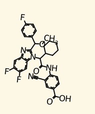 COC(c1ccc(F)cc1)c1nc2cc(F)c(F)cc2n1C(C(=O)Nc1ccc(C(=O)O)cc1C#N)C1CCCCC1